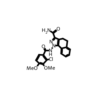 COc1ccc(C(=O)Nn2nc(C(N)=O)c3c2-c2ccccc2CC3)c(Cl)c1OC